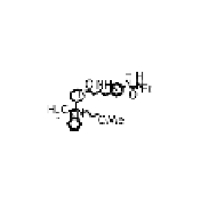 CCNC(=O)Nc1ccc(CC(N)CC(=O)N2CCCC(c3c(C)c4ccccc4n3CCCOC)C2)cc1